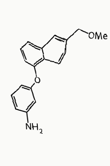 COCc1ccc2c(Oc3cccc(N)c3)cccc2c1